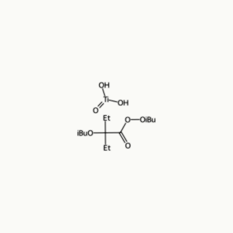 CCC(CC)(OCC(C)C)C(=O)OOCC(C)C.[O]=[Ti]([OH])[OH]